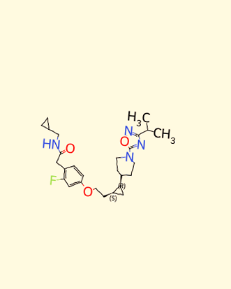 CC(C)c1noc(N2CCC([C@H]3C[C@H]3CCOc3ccc(CC(=O)NCC4CC4)c(F)c3)CC2)n1